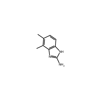 Cc1ccc2[nH]c(N)nc2c1C